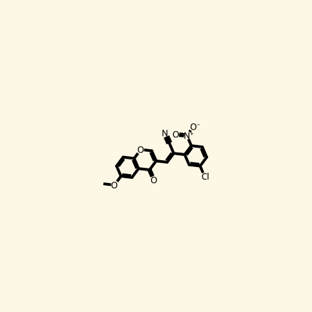 COc1ccc2occ(/C=C(\C#N)c3cc(Cl)ccc3[N+](=O)[O-])c(=O)c2c1